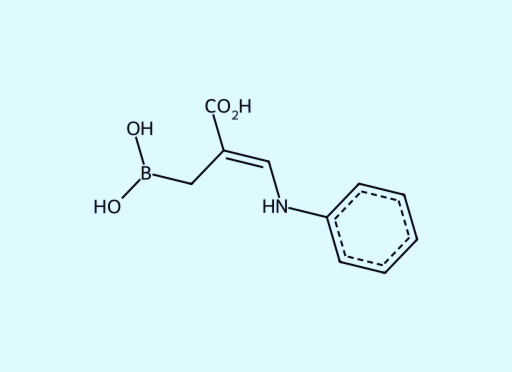 O=C(O)C(=CNc1ccccc1)CB(O)O